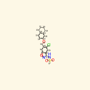 CS(=O)(=O)Nc1noc2cc(COc3ccc4c(c3)CCCC4)c(Cl)cc12